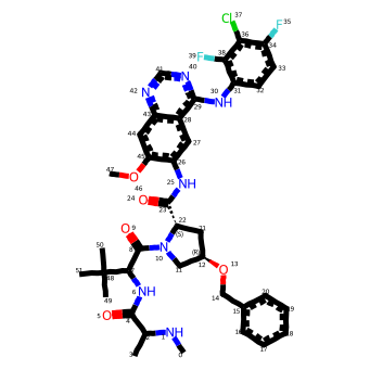 CNC(C)C(=O)NC(C(=O)N1C[C@H](OCc2ccccc2)C[C@H]1C(=O)Nc1cc2c(Nc3ccc(F)c(Cl)c3F)ncnc2cc1OC)C(C)(C)C